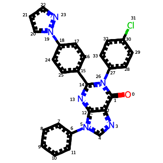 O=c1c2ncn(-c3ccccc3)c2nc(-c2ccc(-n3cccn3)cc2)n1-c1ccc(Cl)cc1